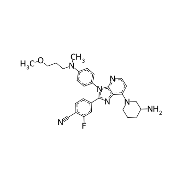 COCCCN(C)c1ccc(-n2c(-c3ccc(C#N)c(F)c3)nc3c(N4CCCC(N)C4)ccnc32)cc1